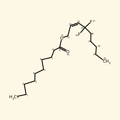 CCCCCCCCCC(=O)OC/C=C\C(F)(F)CCCCC